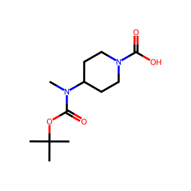 CN(C(=O)OC(C)(C)C)C1CCN(C(=O)O)CC1